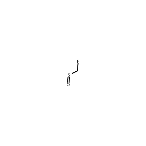 O=[S+]CF